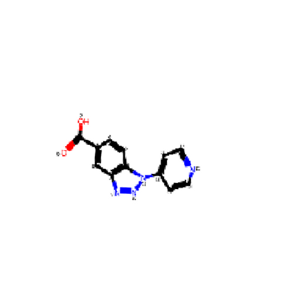 O=C(O)c1ccc2c(c1)nnn2-c1ccncc1